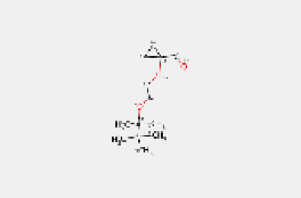 CC(C)(C)[Si](C)(C)OCCOC1(C=O)CC1